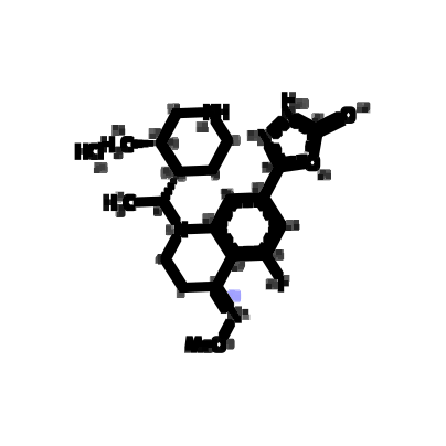 CO/N=C1\CCN(C(C)[C@H]2CCNC[C@H]2C)c2cc(-c3n[nH]c(=O)o3)cc(F)c21.Cl